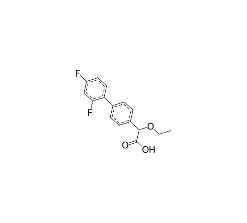 CCOC(C(=O)O)c1ccc(-c2ccc(F)cc2F)cc1